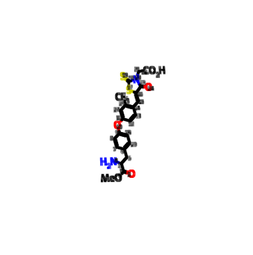 COC(=O)[C@@H](N)Cc1ccc(Oc2ccc(/C=C3\SC(=S)N(CC(=O)O)C3=O)c(C(F)(F)F)c2)cc1